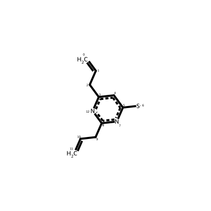 C=CCc1cc([S])nc(CC=C)n1